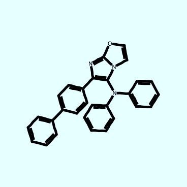 c1ccc(-c2ccc(-c3nc4occn4c3N(c3ccccc3)c3ccccc3)cc2)cc1